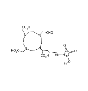 CCOc1c(NCCCC(C(=O)O)N2CCN(CC=O)CCN(CC(=O)O)CCN(CC(=O)O)CC2)c(=O)c1=O